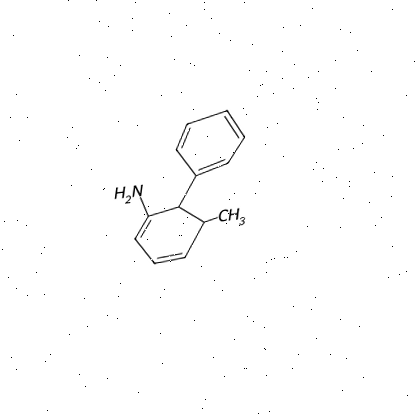 CC1C=CC=C(N)C1c1ccccc1